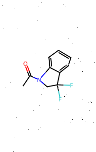 CC(=O)N1CC(F)(F)c2ccccc21